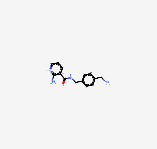 NCc1ccc(CNC(=O)c2cccnc2N)cc1